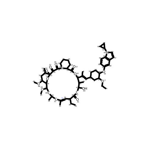 CCOC1CC(C=C(C)C2OC(=O)C3CCCCN3C(=O)C(=O)C3(O)OC(C(OC)CC(C)C/C(C)=C/C(CC)C(=O)CC(O)C2C)C(OC)CC3C)CCC1Oc1ccc2c(ccn2C2CC2)c1